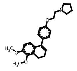 COc1ccc2c(c1OC)CCC=C2c1ccc(OCCN2CCCC2)cc1